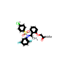 CNC(=O)COc1ccccc1C(C)N(c1cc(F)ccc1F)S(=O)(=O)c1ccc(Cl)cc1